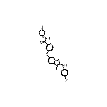 Cn1c(Nc2ccc(Br)cc2)nc2cc(Oc3ccnc(C(=O)N[C@@H]4CCNC4)c3)ccc21